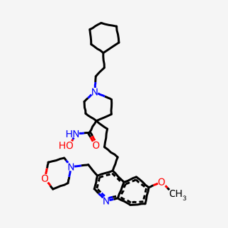 COc1ccc2ncc(CN3CCOCC3)c(CCCC3(C(=O)NO)CCN(CCC4CCCCC4)CC3)c2c1